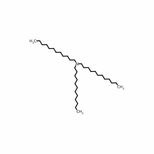 CCCCCCCCCCC[CH2][Al]([CH2]CCCCCCCCCCC)[CH2]CCCCCCCCCCC